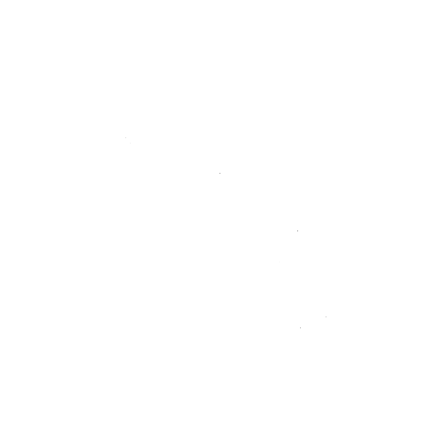 O=C(CN1CCCC1)Nc1cc2cc(-c3cn[nH]c3C(F)(F)F)ncc2cn1